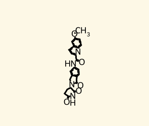 COc1ccc2nc(C(=O)Nc3ccc4c(c3)CN(C3CCC(=O)NC3=O)C4=O)ccc2c1